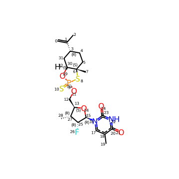 C=C(C)[C@@H]1CC[C@]2(C)S[P@@](=S)(OC[C@H]3O[C@@H](n4cc(C)c(=O)[nH]c4=O)[C@H](F)[C@@H]3C)O[C@H]2C1